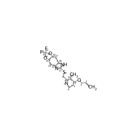 C=CCOc1ccnc(CSc2nc3cc4c(cc3[nH]2)OC(F)(F)O4)c1C